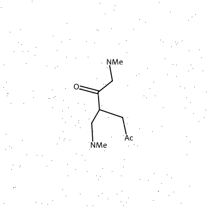 CNCC(=O)C(CNC)CC(C)=O